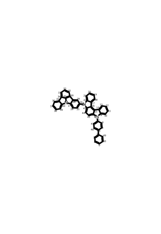 c1ccc(-c2ccc(-n3c4ccccc4c4c5c6ccccc6n(-c6ccc7c(c6)c6cccc8c9ccccc9n7c86)c5ccc43)cc2)cc1